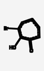 O=c1ccccc(Br)c1O